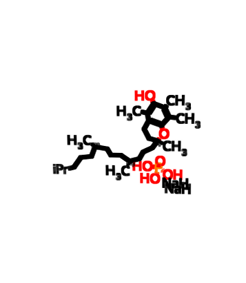 Cc1c(C)c2c(c(C)c1O)CC[C@@](C)(CCC[C@H](C)CCC[C@H](C)CCCC(C)C)O2.O=P(O)(O)O.[NaH].[NaH]